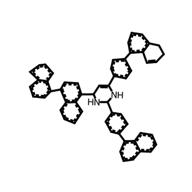 C1=Cc2c(cccc2-c2ccc(C3=CC(c4ccc(-c5cccc6ccccc56)c5ccccc45)NC(c4ccc(-c5cccc6ccccc56)cc4)N3)cc2)CC1